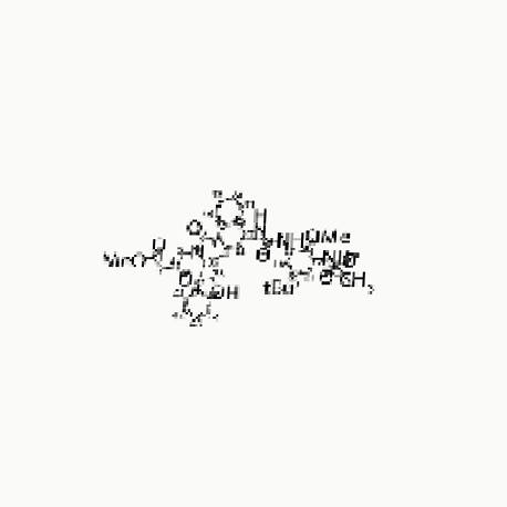 COC(=O)CC1CN(C(=O)c2ccc(NC(=O)Nc3cc(C(C)(C)C)cc(NS(C)(=O)=O)c3OC)c3ccccc23)CC(CO)(c2ccccc2)O1